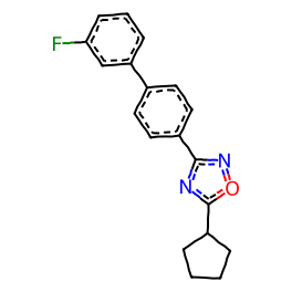 Fc1cccc(-c2ccc(-c3noc(C4CCCC4)n3)cc2)c1